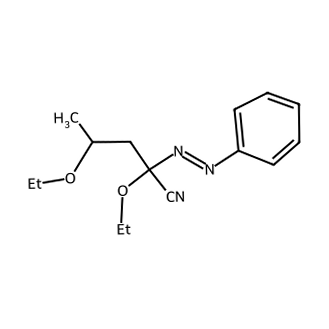 CCOC(C)CC(C#N)(N=Nc1ccccc1)OCC